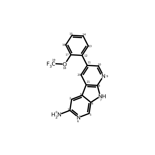 Nc1cc2c(cn1)[nH]c1ncc(-c3ccccc3OC(F)(F)F)cc12